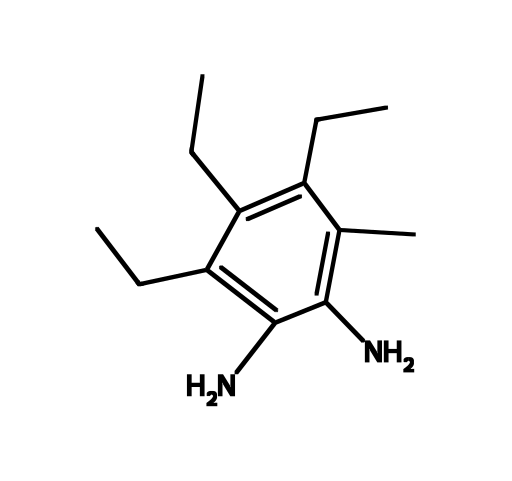 CCc1c(C)c(N)c(N)c(CC)c1CC